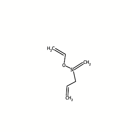 C=CC[Si](=C)OC=C